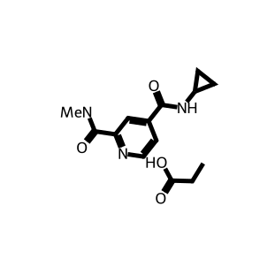 CCC(=O)O.CNC(=O)c1cc(C(=O)NC2CC2)ccn1